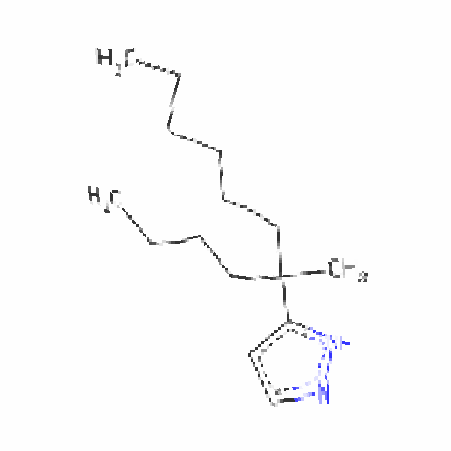 CCCCCCC(C)(CCCC)c1ccn[nH]1